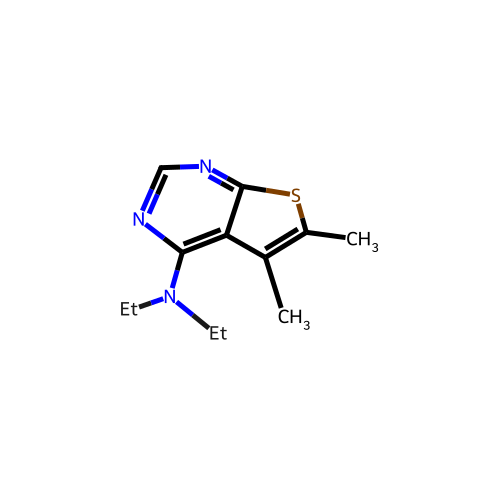 CCN(CC)c1ncnc2sc(C)c(C)c12